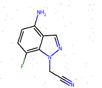 N#CCn1ncc2c(N)ccc(F)c21